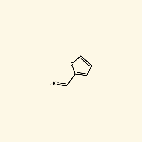 [CH]=Cc1[c]ccs1